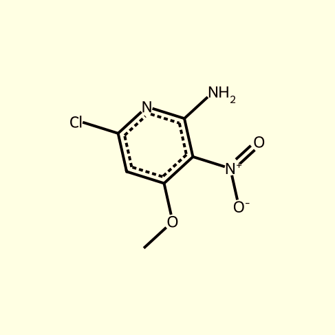 COc1cc(Cl)nc(N)c1[N+](=O)[O-]